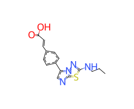 CCCNc1nn2c(-c3ccc(C=CC(=O)O)cc3)cnc2s1